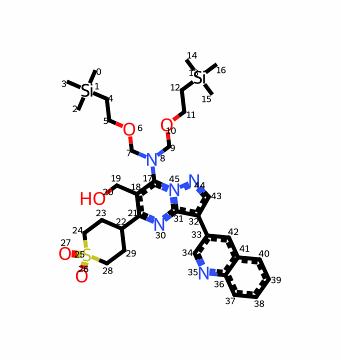 C[Si](C)(C)CCOCN(COCC[Si](C)(C)C)c1c(CO)c(C2CCS(=O)(=O)CC2)nc2c(-c3cnc4ccccc4c3)cnn12